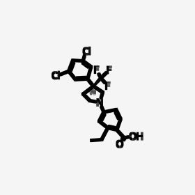 CCc1cc(N2CC[C@@](c3cc(Cl)cc(Cl)c3)(C(F)(F)F)C2)ccc1C(=O)O